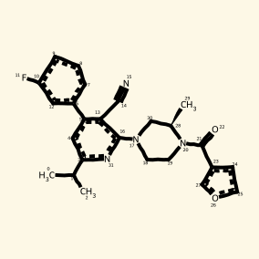 CC(C)c1cc(-c2cccc(F)c2)c(C#N)c(N2CCN(C(=O)c3ccoc3)[C@H](C)C2)n1